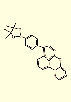 CC1(C)OB(c2ccc(-c3ccc4c5c(cccc35)-c3ccccc3O4)cc2)OC1(C)C